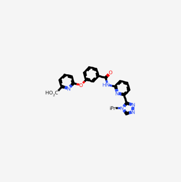 CC(C)n1cnnc1-c1cccc(NC(=O)c2cccc(Oc3cccc(C(=O)O)n3)c2)n1